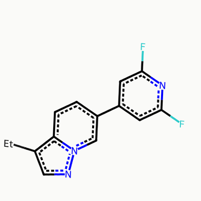 CCc1cnn2cc(-c3cc(F)nc(F)c3)ccc12